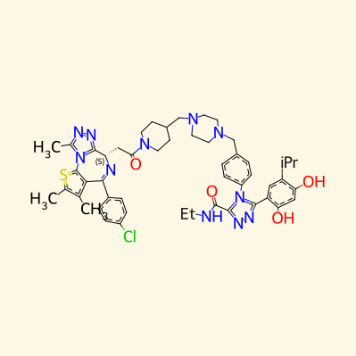 CCNC(=O)c1nnc(-c2cc(C(C)C)c(O)cc2O)n1-c1ccc(CN2CCN(CC3CCN(C(=O)C[C@@H]4N=C(c5ccc(Cl)cc5)c5c(sc(C)c5C)-n5c(C)nnc54)CC3)CC2)cc1